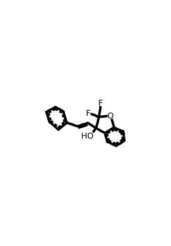 OC1(C=Cc2ccccc2)c2ccccc2OC1(F)F